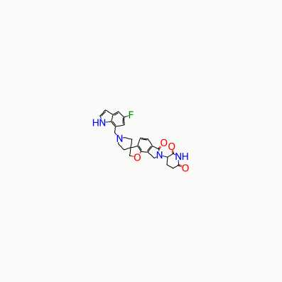 O=C1CCC(N2Cc3c(ccc4c3OCC43CCN(Cc4cc(F)cc5cc[nH]c45)CC3)C2=O)C(=O)N1